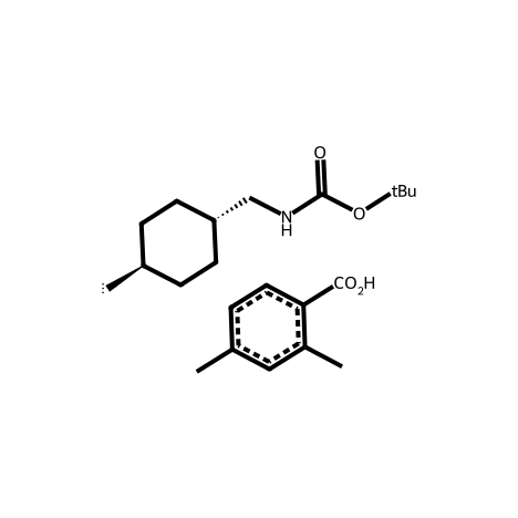 Cc1ccc(C(=O)O)c(C)c1.[C][C@H]1CC[C@H](CNC(=O)OC(C)(C)C)CC1